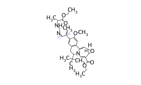 C/C=C(\C=N/CNC(C)C(=O)OCC)c1cc2c(cc1OC)C1=C[C@H]3OC3C(C(=O)OCC)=CN1C(C(C)(C)C)C2